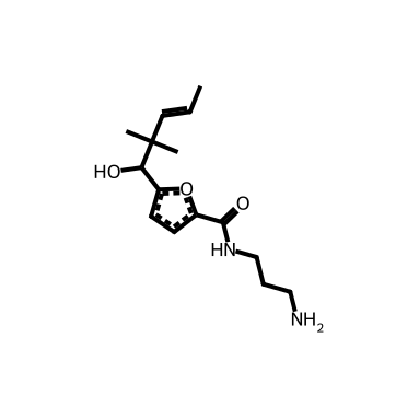 CC=CC(C)(C)C(O)c1ccc(C(=O)NCCCN)o1